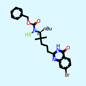 CCCC[C@H](N(S)C(=O)OCc1ccccc1)C(C)(C)CCCc1nc2cc(Br)ccc2c(=O)[nH]1